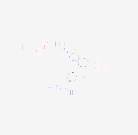 COC(=O)CCCN(C)c1nc2c(-c3ccc(C(=N)N)cc3F)cc(C(=O)O)cc2s1